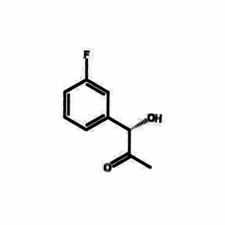 CC(=O)[C@@H](O)c1cccc(F)c1